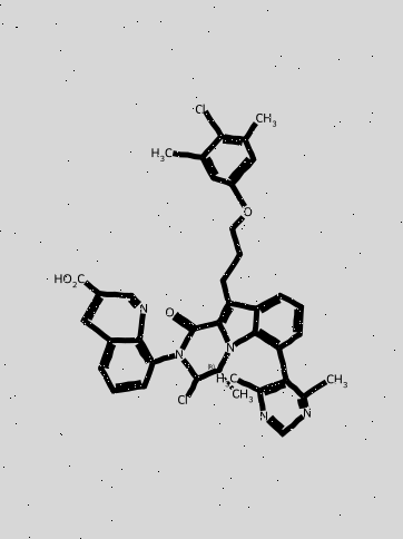 Cc1cc(OCCCc2c3n(c4c(-c5c(C)ncnc5C)cccc24)[C@H](C)C(Cl)N(c2cccc4cc(C(=O)O)cnc24)C3=O)cc(C)c1Cl